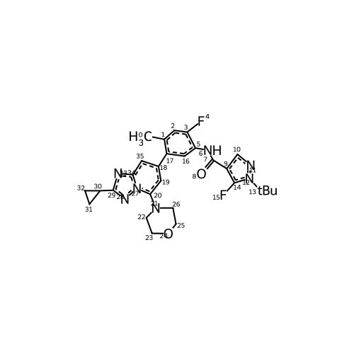 Cc1cc(F)c(NC(=O)c2cnn(C(C)(C)C)c2F)cc1-c1cc(N2CCOCC2)n2nc(C3CC3)nc2c1